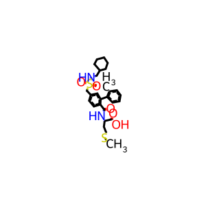 CSCCC(NC(=O)c1ccc(CS(=O)(=O)NCC2CCCCC2)cc1-c1ccccc1C)C(=O)O